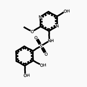 COc1ncc(O)nc1NS(=O)(=O)c1cccc(O)c1O